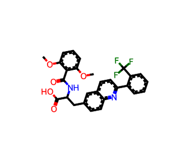 COc1cccc(OC)c1C(=O)NC(Cc1ccc2nc(-c3ccccc3C(F)(F)F)ccc2c1)C(=O)O